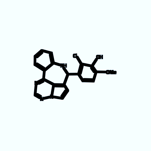 COc1ccc(C2Nc3ccccc3-c3ncnn4ccc2c34)c(Cl)c1O